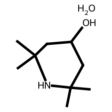 CC1(C)CC(O)CC(C)(C)N1.O